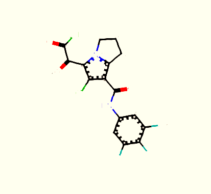 O=C(Cl)C(=O)c1c(Cl)c(C(=O)Nc2cc(F)c(F)c(F)c2)c2n1CCC2